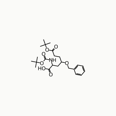 CC(C)(C)OC(=O)CCC(CC(NC(=O)OC(C)(C)C)C(=O)O)OCc1ccccc1